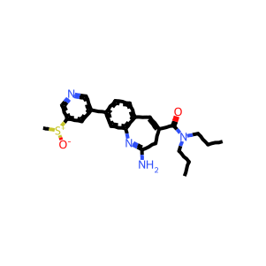 CCCN(CCC)C(=O)C1=Cc2ccc(-c3cncc([S+](C)[O-])c3)cc2N=C(N)C1